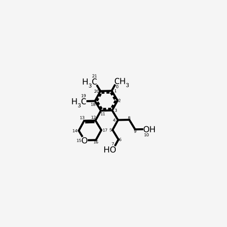 Cc1cc(C(CCO)CCO)c(C2=CCOCC2)c(C)c1C